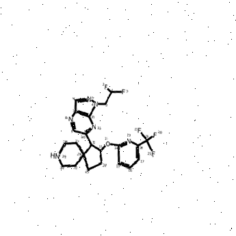 FC(F)Cn1ncc2ncc(C3C(Oc4cccc(C(F)(F)F)n4)CCC34CCNCC4)nc21